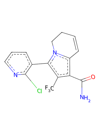 NC(=O)c1c(C(F)(F)F)c(-c2cccnc2Cl)n2c1C=CCC2